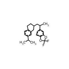 CC(C)c1ccc2c(c1)CC(CC(C)c1ccc3c(c1)OC(F)(F)O3)CC2